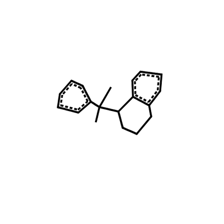 CC(C)(c1ccccc1)C1CCCc2ccccc21